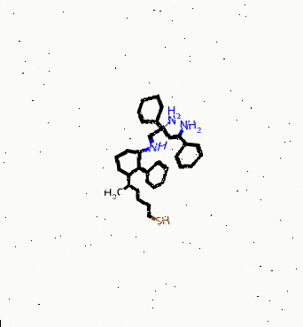 CC(CCCCS)C1CCCC(NC[C@](N)(CC(N)C2CCCCC2)C2CCCCC2)C1C1CCCCC1